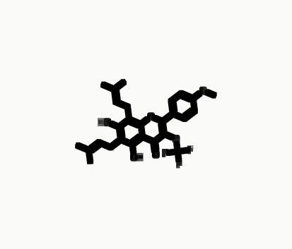 COc1ccc(-c2oc3c(CC=C(C)C)c(O)c(CC=C(C)C)c(O)c3c(=O)c2OC(F)(F)F)cc1